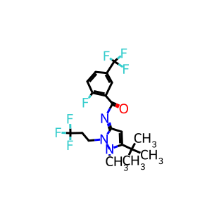 Cn1c(C(C)(C)C)cc(=NC(=O)c2cc(C(F)(F)F)ccc2F)n1CCC(F)(F)F